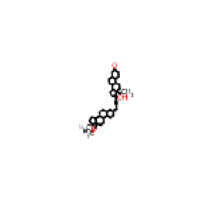 CCC12CCC3C4CCC(=O)C=C4CCC3C1CC[C@@]2(O)C#C/C=C1\C=C2CCC3C(CCC4(CC)C3CC[C@]4(C)OC)C2CC1